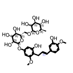 COc1ccc(/C=C/Cc2c(O)cc(O[C@H]3O[C@@H](CO[C@@H]4O[C@H](C)[C@@H](O)[C@H](O)[C@@H]4O)[C@H](O)[C@@H](O)[C@@H]3O)cc2OC)cc1O